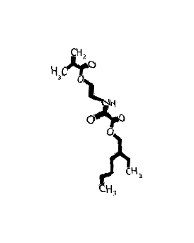 C=C(C)C(=O)OCCNC(=O)C(=O)OCC(CC)CCCC